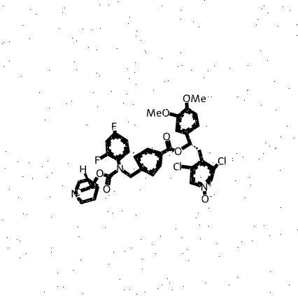 COc1ccc([C@H](Cc2c(Cl)c[n+]([O-])cc2Cl)OC(=O)c2ccc(CN(C(=O)O[C@H]3CN4CCC3CC4)c3ccc(F)cc3F)cc2)cc1OC